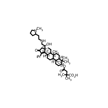 CC(C)C1=C2[C@H]3CC[C@@H]4[C@@]5(C)CC[C@H](OC(=O)CC(C)(C)C(=O)O)C(C)(C)[C@@H]5CC[C@@]4(C)[C@]3(C)CC[C@@]2([C@H](O)CNCCC2CCCN2C)CC1=O